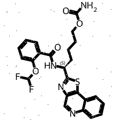 NC(=O)OCCCC[C@H](NC(=O)c1ccccc1OC(F)F)c1nc2cnc3ccccc3c2s1